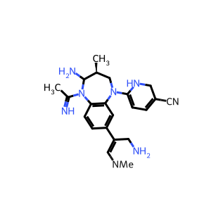 CN/C=C(\CN)c1ccc2c(c1)N(C1=CC=C(C#N)CN1)C[C@H](C)C(N)N2C(C)=N